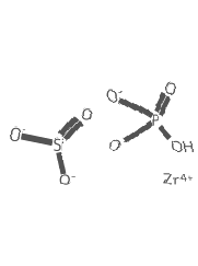 O=P([O-])([O-])O.O=[Si]([O-])[O-].[Zr+4]